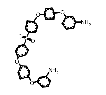 Nc1cccc(Oc2ccc(Oc3ccc(S(=O)(=O)c4ccc(Oc5ccc(Oc6cccc(N)c6)cc5)cc4)cc3)cc2)c1